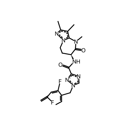 C=C(F)/C=C(F)\C(=C/C)Cn1cnc(C(=O)N[C@H]2CCn3nc(C)c(C)c3N(C)C2=O)n1